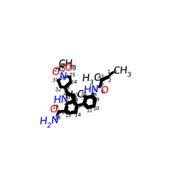 CC/C=C(\C)C(=O)Nc1cccc(-c2ccc(C(N)=O)c3[nH]c(C4=CCN(S(C)(=O)=O)CC4)cc23)c1C